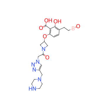 O=BCCc1ccc(OC2CN(C(=O)Cn3cc(CN4CCNCC4)nn3)C2)c(C(=O)O)c1O